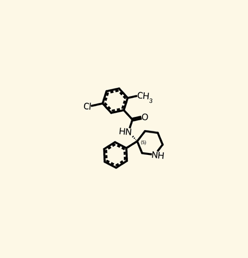 Cc1ccc(Cl)cc1C(=O)N[C@]1(c2ccccc2)CCCNC1